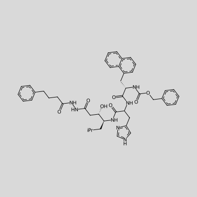 CC(C)C[C@H](NC(=O)C(Cc1c[nH]cn1)NC(=O)[C@H](Cc1cccc2ccccc12)NC(=O)OCc1ccccc1)[C@@H](O)CC(=O)NNC(=O)CCCc1ccccc1